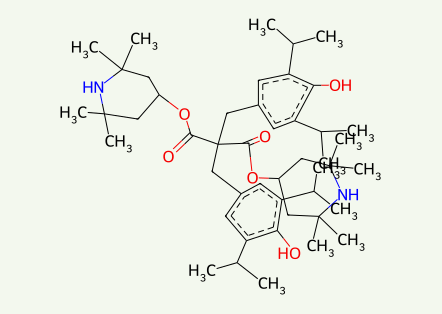 CC(C)c1cc(CC(Cc2cc(C(C)C)c(O)c(C(C)C)c2)(C(=O)OC2CC(C)(C)NC(C)(C)C2)C(=O)OC2CC(C)(C)NC(C)(C)C2)cc(C(C)C)c1O